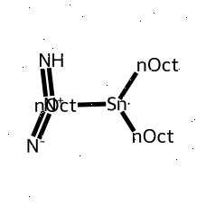 CCCCCCC[CH2][Sn]([CH2]CCCCCCC)[CH2]CCCCCCC.[N-]=[N+]=N